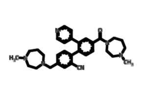 CN1CCCN(Cc2ccc(-c3ccc(C(=O)N4CCCN(C)CC4)cc3-c3ccncc3)c(C#N)c2)CC1